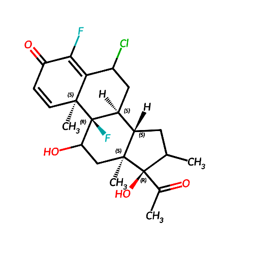 CC(=O)[C@@]1(O)C(C)C[C@H]2[C@@H]3CC(Cl)C4=C(F)C(=O)C=C[C@]4(C)[C@@]3(F)C(O)C[C@@]21C